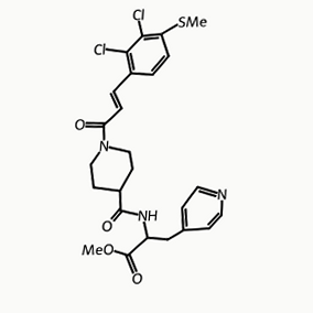 COC(=O)C(Cc1ccncc1)NC(=O)C1CCN(C(=O)C=Cc2ccc(SC)c(Cl)c2Cl)CC1